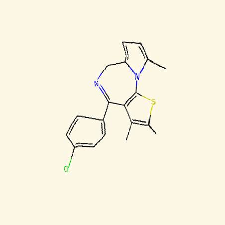 Cc1sc2c(c1C)C(c1ccc(Cl)cc1)=NCc1ccc(C)n1-2